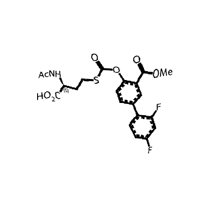 COC(=O)c1cc(-c2ccc(F)cc2F)ccc1OC(=O)SCC[C@H](NC(C)=O)C(=O)O